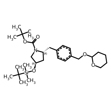 CC(C)(C)OC(=O)N1C[C@H](O[Si](C)(C)C(C)(C)C)C[C@H]1Cc1ccc(COC2CCCCO2)cc1